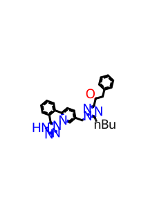 CCCCc1nc(C(=O)Cc2ccccc2)nn1Cc1ccc(-c2ccccc2-c2nnn[nH]2)nc1